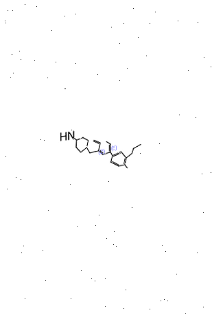 C=C/C(=C\C(=C/C)c1ccc(C)c(CCC)c1)CC1CCC(NC)CC1